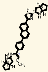 C=N/C=C(\NC1C[C@@H]2CCC[C@@H]2N1)c1ccc(-c2ccc3cc(-c4c[nH]c([C@@H]5C[C@@H]6CCC[C@@H]6N5)n4)ccc3c2)cc1